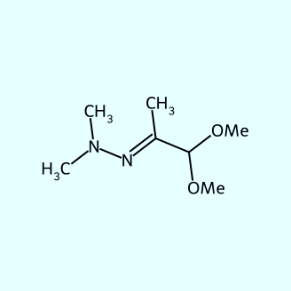 COC(OC)C(C)=NN(C)C